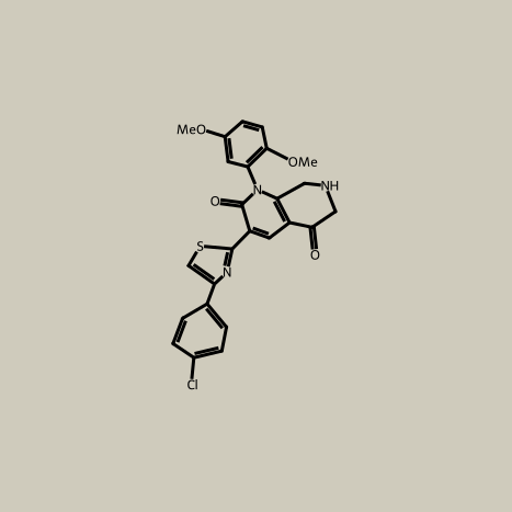 COc1ccc(OC)c(-n2c3c(cc(-c4nc(-c5ccc(Cl)cc5)cs4)c2=O)C(=O)CNC3)c1